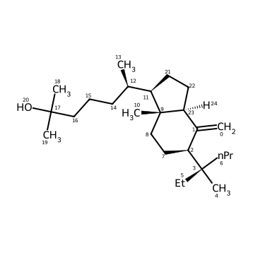 C=C1[C@@H]([C@](C)(CC)CCC)CC[C@]2(C)[C@@H]([C@H](C)CCCC(C)(C)O)CC[C@@H]12